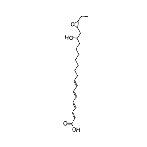 CCC1OC1CC(O)CCCCCCC/C=C/C=C/C=C/C=C/C(=O)O